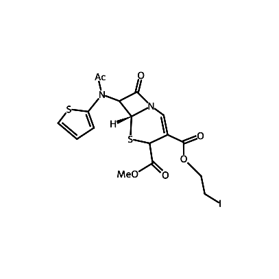 COC(=O)C1S[C@@H]2C(N(C(C)=O)c3cccs3)C(=O)N2C=C1C(=O)OCCI